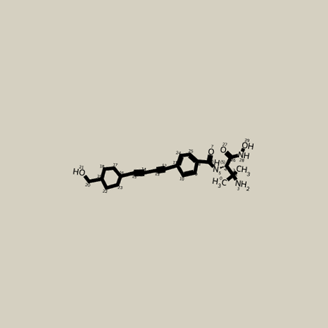 CC(C)(N)[C@H](NC(=O)c1ccc(C#CC#CC2CCC(CO)CC2)cc1)C(=O)NO